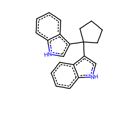 c1ccc2c(C3(c4c[nH]c5ccccc45)CCCC3)c[nH]c2c1